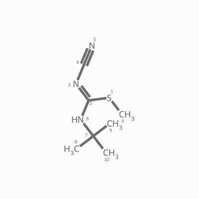 CS/C(=N\C#N)NC(C)(C)C